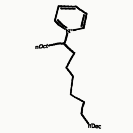 CCCCCCCCCCCCCCCCC(CCCCCCCC)[n+]1ccccc1